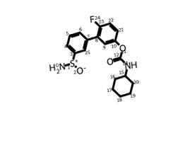 N[S+]([O-])c1cccc(-c2cc(OC(=O)NC3CCCCC3)ccc2F)c1